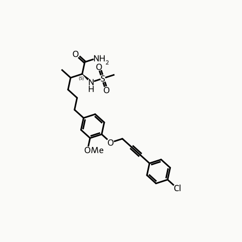 COc1cc(CCCC(C)[C@H](NS(C)(=O)=O)C(N)=O)ccc1OCC#Cc1ccc(Cl)cc1